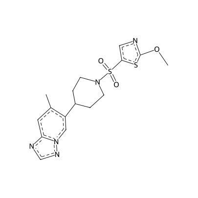 COc1ncc(S(=O)(=O)N2CCC(c3cn4ncnc4cc3C)CC2)s1